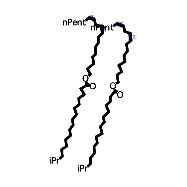 CCCCC/C=C\C/C=C\CCCCCCCCOC(=O)CCCCCCCCCCCCCCC(C)C.CCCCC/C=C\C/C=C\CCCCCCCCOC(=O)CCCCCCCCCCCCCCC(C)C